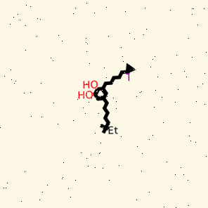 CCC(C)(C)CCCCCc1cc(O)c(O)c(CCCCCC2(I)CC2)c1